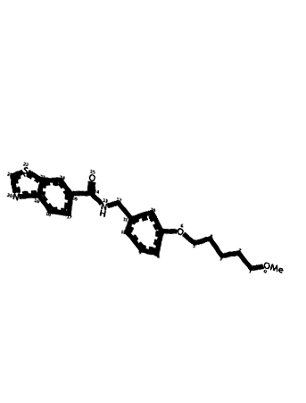 COCCCCCOc1cccc(CNC(=O)c2ccc3ncsc3c2)c1